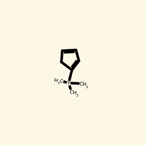 [CH3][Y]([CH3])([CH3])[C]1=CC=CC1